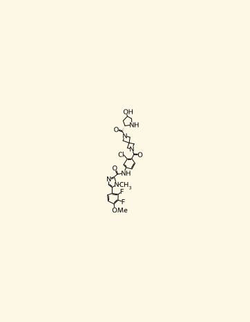 COc1ccc(-c2cnc(C(=O)Nc3ccc(C(=O)N4CC5(C4)CN(C(=O)[C@@H]4C[C@@H](O)CN4)C5)c(Cl)c3)n2C)c(F)c1F